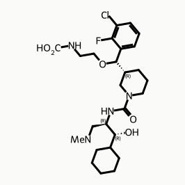 CNC[C@@H](NC(=O)N1CCC[C@@H](C(OCCNC(=O)O)c2cccc(Cl)c2F)C1)[C@H](O)C1CCCCC1